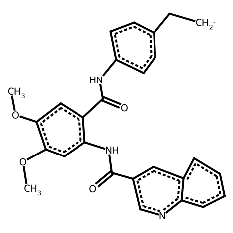 [CH2]Cc1ccc(NC(=O)c2cc(OC)c(OC)cc2NC(=O)c2cnc3ccccc3c2)cc1